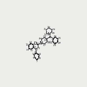 O=C(CC(c1ccccc1)c1ccccc1)N1CCC(C(c2ccccc2)N2CCCCC2)CC1